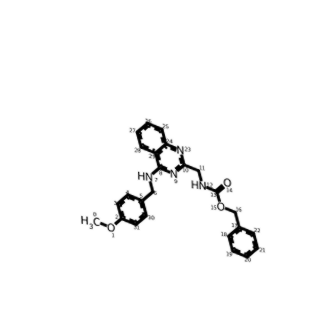 COc1ccc(CNc2nc(CNC(=O)OCc3ccccc3)nc3ccccc23)cc1